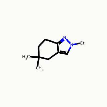 CCn1cc2c(n1)CCC(C)(C)C2